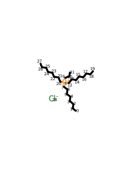 CCCCCCCC[P+](CCC)(CCCCCCCC)CCCCCCCC.[Cl-]